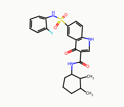 CC1CCCC(NC(=O)c2c[nH]c3ccc(S(=O)(=O)Nc4ccccc4F)cc3c2=O)C1C